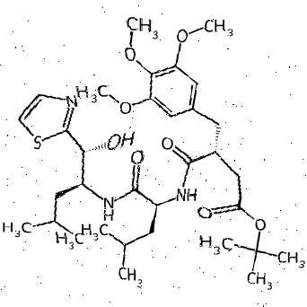 COc1cc(C[C@H](CC(=O)OC(C)(C)C)C(=O)N[C@@H](CC(C)C)C(=O)N[C@@H](CC(C)C)[C@@H](O)c2nccs2)cc(OC)c1OC